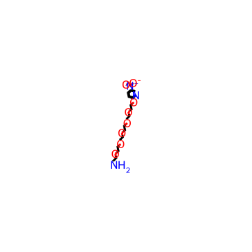 NCCOCCOCCOCCOCCOCCOc1ccc([N+](=O)[O-])cn1